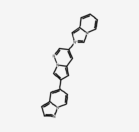 c1ccn2c[n+](-c3cnn4cc(-c5ccn6nccc6c5)cc4c3)cc2c1